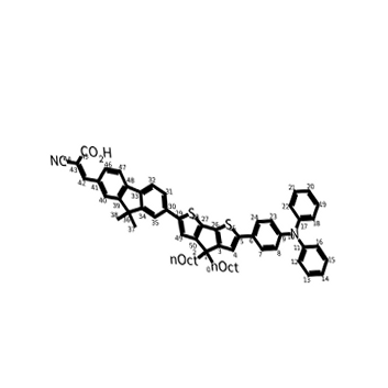 CCCCCCCCC1(CCCCCCCC)c2cc(-c3ccc(N(c4ccccc4)c4ccccc4)cc3)sc2-c2sc(-c3ccc4c(c3)C(C)(C)c3cc(C=C(C#N)C(=O)O)ccc3-4)cc21